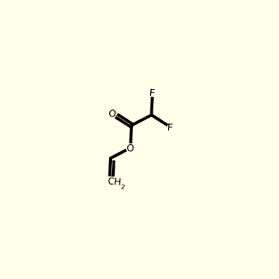 C=COC(=O)C(F)F